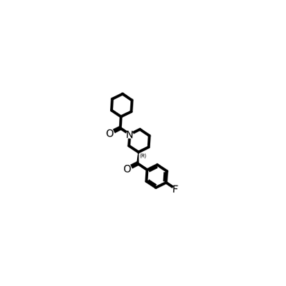 O=C(c1ccc(F)cc1)[C@@H]1CCCN(C(=O)C2CCCCC2)C1